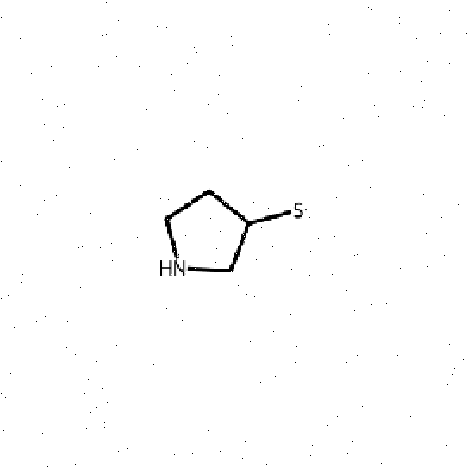 [S]C1CCNC1